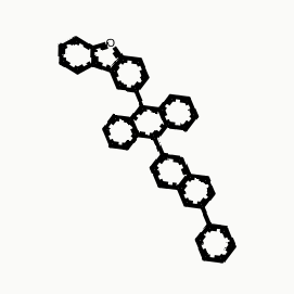 c1ccc(-c2ccc3cc(-c4c5ccccc5c(-c5ccc6oc7ccccc7c6c5)c5ccccc45)ccc3c2)cc1